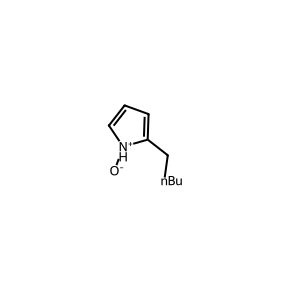 CCCCCC1=CC=C[NH+]1[O-]